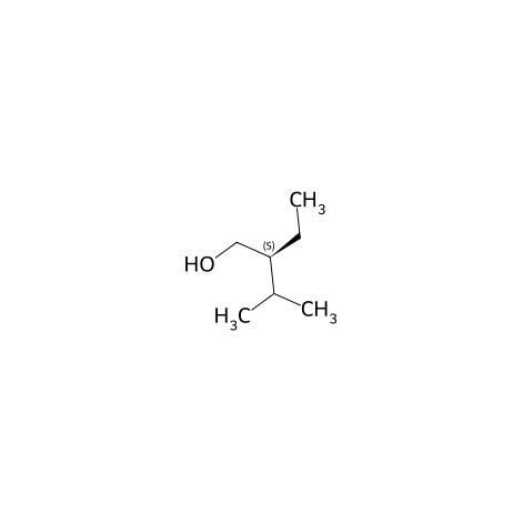 CC[C@H](CO)C(C)C